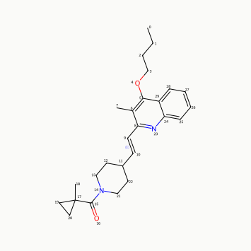 CCCCOc1c(C)c(/C=C/C2CCN(C(=O)C3(C)CC3)CC2)nc2ccccc12